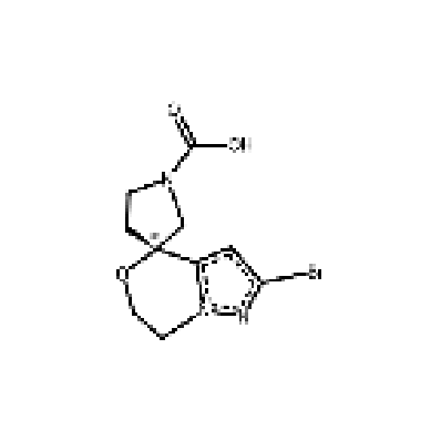 O=C(O)N1CC[C@]2(C1)OCCn1nc(Br)cc12